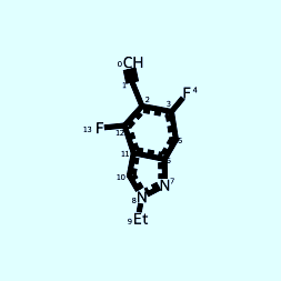 C#Cc1c(F)cc2nn(CC)cc2c1F